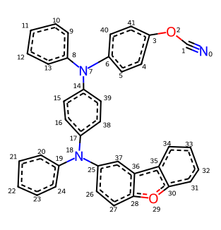 N#COc1ccc(N(c2ccccc2)c2ccc(N(c3ccccc3)c3ccc4oc5ccccc5c4c3)cc2)cc1